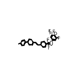 Cc1ccc(C2CCC(/C=C/C3CCC(C(F)(F)Oc4cc(F)c(OC(F)(F)F)c(F)c4)CC3)CC2)cc1